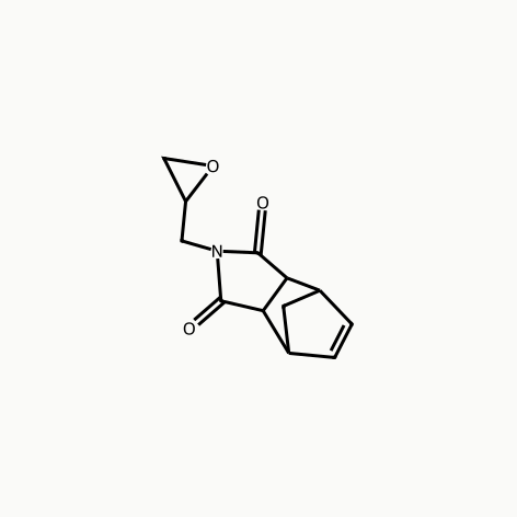 O=C1C2C3C=CC(C3)C2C(=O)N1CC1CO1